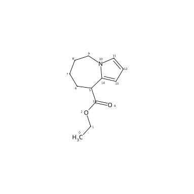 CCOC(=O)C1CCCCn2cccc21